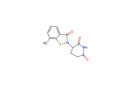 N#Cc1cccc2c(=O)n(C3CCC(=O)NC3=O)sc12